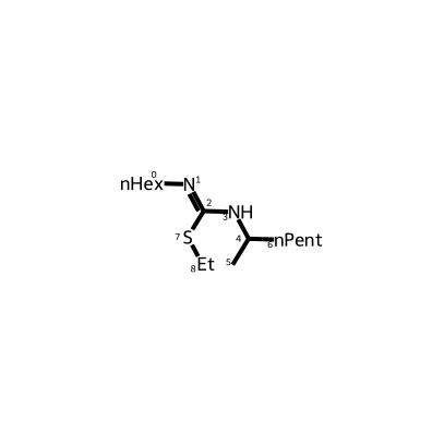 CCCCCCN=C(NC(C)CCCCC)SCC